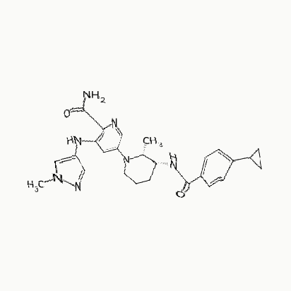 C[C@@H]1[C@H](NC(=O)c2ccc(C3CC3)cc2)CCCN1c1cnc(C(N)=O)c(Nc2cnn(C)c2)c1